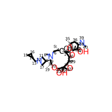 CO[C@]1(C)C[C@@H](C)CN(C)[C@H](C2CN(CC3CC3)C2)[C@@H](C)OC(O)C(C)(C)C(=O)[C@H](C)[C@H]1O[C@@H]1O[C@H](C)C[C@H](N(C)C)[C@H]1O